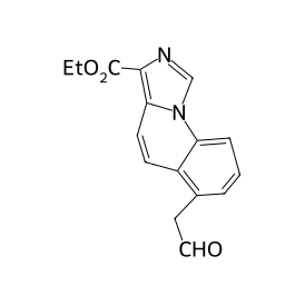 CCOC(=O)c1ncn2c1ccc1c(CC=O)cccc12